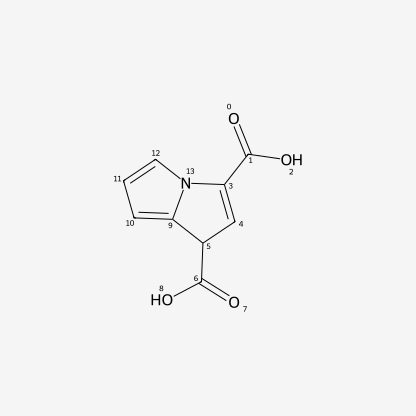 O=C(O)C1=CC(C(=O)O)c2cccn21